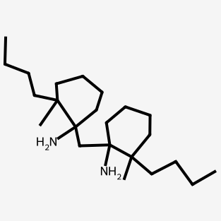 CCCCC1(C)CCCCC1(N)CC1(N)CCCCC1(C)CCCC